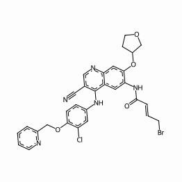 N#Cc1cnc2cc(OC3CCOC3)c(NC(=O)C=CCBr)cc2c1Nc1ccc(OCc2ccccn2)c(Cl)c1